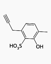 C#CCc1ccc(C)c(O)c1S(=O)(=O)O